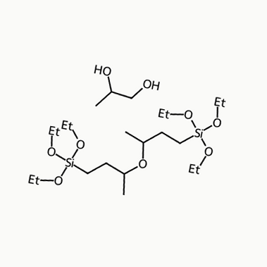 CC(O)CO.CCO[Si](CCC(C)OC(C)CC[Si](OCC)(OCC)OCC)(OCC)OCC